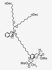 CCCCCCCCCCCCCCCCCCOCC(COP(=O)(OCCCCCCCCCCCc1cc(CC(C)(C)C(=O)OC)cc(CC(C)(C)C(=O)OC)c1)Oc1ccccc1Cl)OCCCCCCCCCCCCCCCCCC